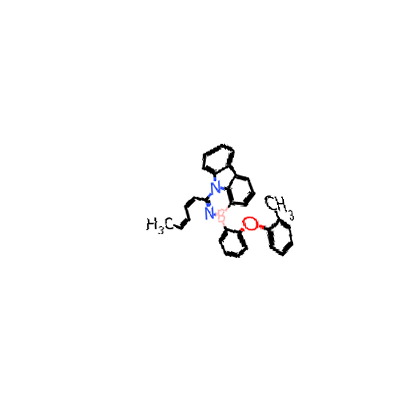 C/C=C\C=C/C1=NB(c2ccccc2Oc2ccccc2C)c2cccc3c4ccccc4n1c23